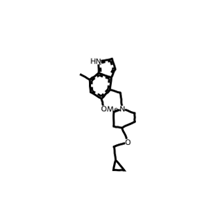 COc1cc(C)c2[nH]ccc2c1CN1CCC(OCC2CC2)CC1